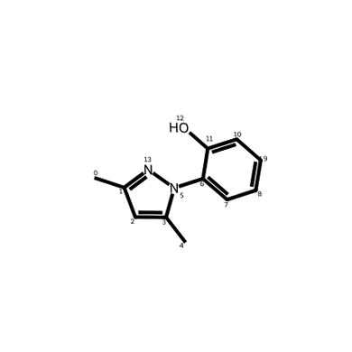 Cc1cc(C)n(-c2cc[c]cc2O)n1